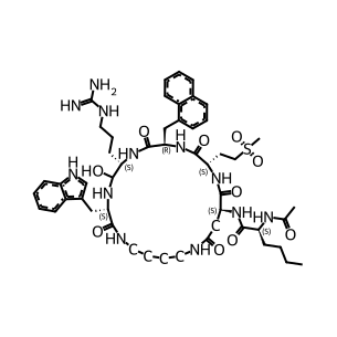 CCCC[C@H](NC(C)=O)C(=O)N[C@H]1CC(=O)NCCCCNC(=O)[C@H](Cc2c[nH]c3ccccc23)NC(O)[C@H](CCCNC(=N)N)NC(=O)[C@@H](Cc2cccc3ccccc23)NC(=O)[C@H](CCS(C)(=O)=O)NC1=O